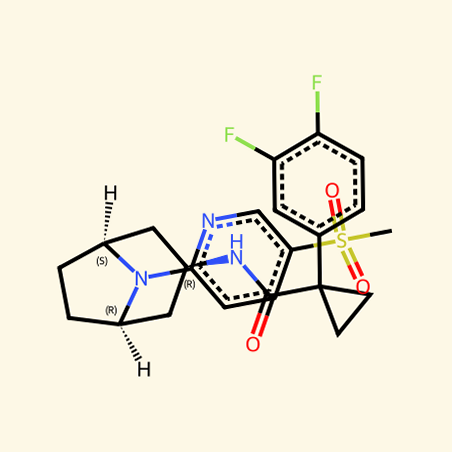 CS(=O)(=O)c1ccc(N2[C@@H]3CC[C@H]2C[C@@H](NC(=O)C2(c4ccc(F)c(F)c4)CC2)C3)nc1